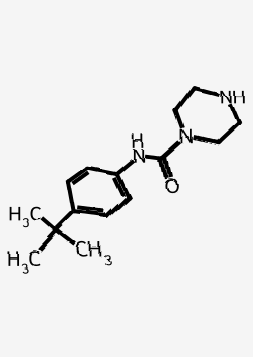 CC(C)(C)c1ccc(NC(=O)N2CCNCC2)cc1